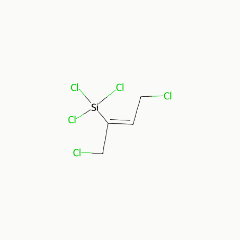 ClCC=C(CCl)[Si](Cl)(Cl)Cl